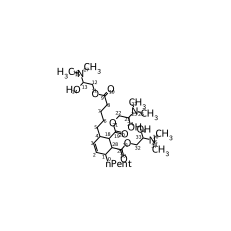 CCCCCC1C=CC(CCCCC(=O)OCC(O)N(C)C)C(C(=O)OCC(O)N(C)C)C1C(=O)OCC(O)N(C)C